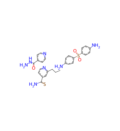 CCCc1cc(C(N)=S)ccn1.NNC(=O)c1ccncc1.Nc1ccc(S(=O)(=O)c2ccc(N)cc2)cc1